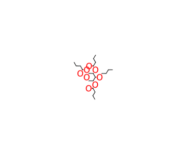 CCCCO[C@H]1[C@@H](OC(=O)CCC)COC(OC(=O)CCC)[C@@H]1OC(=O)CCC